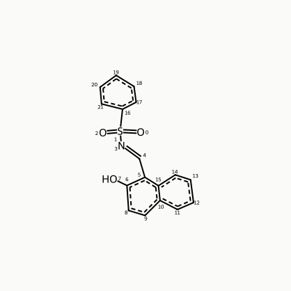 O=S(=O)(/N=C/c1c(O)ccc2ccccc12)c1ccccc1